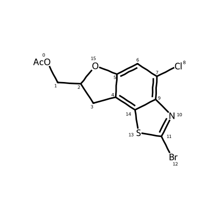 CC(=O)OCC1Cc2c(cc(Cl)c3nc(Br)sc23)O1